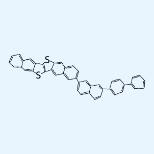 c1ccc(-c2ccc(-c3ccc4ccc(-c5ccc6cc7sc8c9cc%10ccccc%10cc9sc8c7cc6c5)cc4c3)cc2)cc1